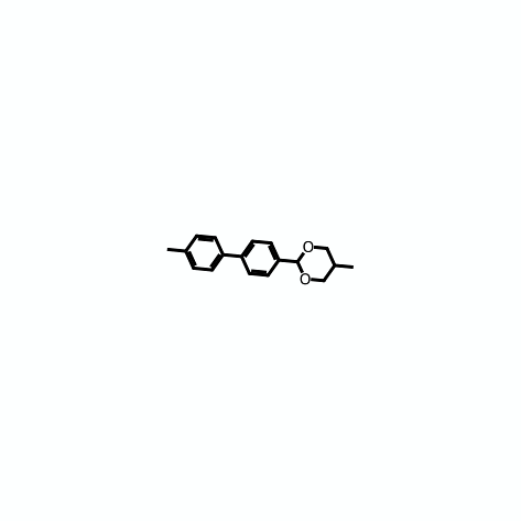 Cc1ccc(-c2ccc(C3OCC(C)CO3)cc2)cc1